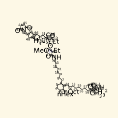 CCCCCCCCC1C(CCCCCC)CCC(CCCCCCCCNC(=O)/C(CC)=C(\OC)OCN(C(=O)CC)C(C)(C)CC2CC3CC2C2CC(CN4C(=O)C=CC4=O)CC32)C1CCCCCCCCC(C)(C)C(C)(C)N